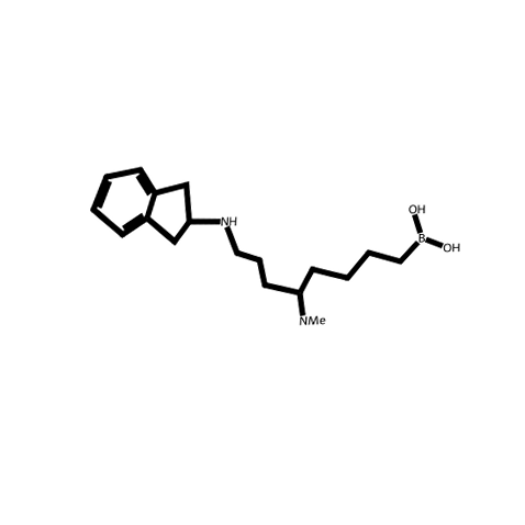 CNC(CCCCB(O)O)CCCNC1Cc2ccccc2C1